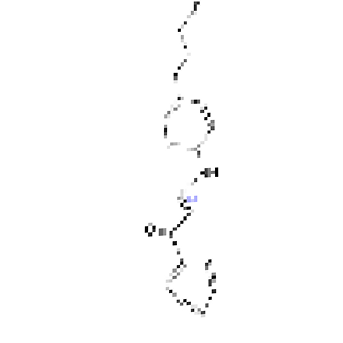 O=C(/C=C/Nc1ccc(CCCF)cc1)c1ccccc1